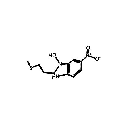 CSCCC1Nc2ccc([N+](=O)[O-])cc2N1O